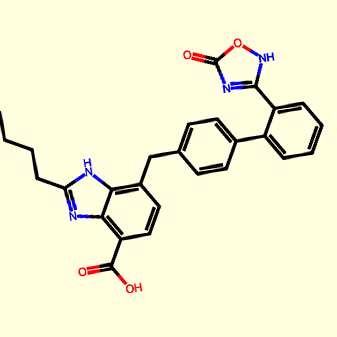 CCCCc1nc2c(C(=O)O)ccc(Cc3ccc(-c4ccccc4-c4nc(=O)o[nH]4)cc3)c2[nH]1